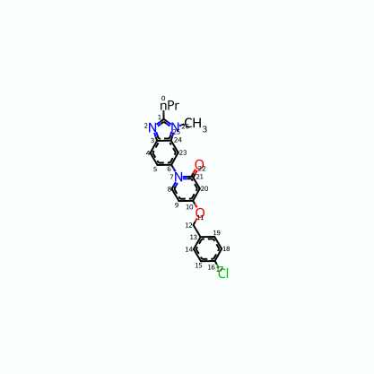 CCCc1nc2ccc(-n3ccc(OCc4ccc(Cl)cc4)cc3=O)cc2n1C